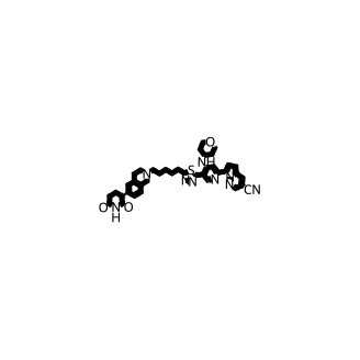 N#Cc1cnn2c(-c3cc(NC4CCOCC4)c(-c4nnc(CCCCCN5CCc6cc([C@@H]7CCC(=O)NC7=O)ccc6C5)s4)cn3)ccc2c1